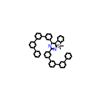 C[Si]1(C)c2ccccc2-c2c(-c3cccc(-c4cccc(-c5cccc(-c6ccccc6)c5)c4)c3)nc(-c3cccc(-c4cccc(-c5cccc(-c6ccccc6)c5)c4)c3)nc21